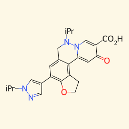 CC(C)N1Cc2cc(-c3cnn(C(C)C)c3)c3c(c2-c2cc(=O)c(C(=O)O)cn21)CCO3